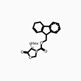 CCCCCC[C@H]1C(=O)OCN1C(=O)OCC1C2=C(CCC=C2)c2ccccc21